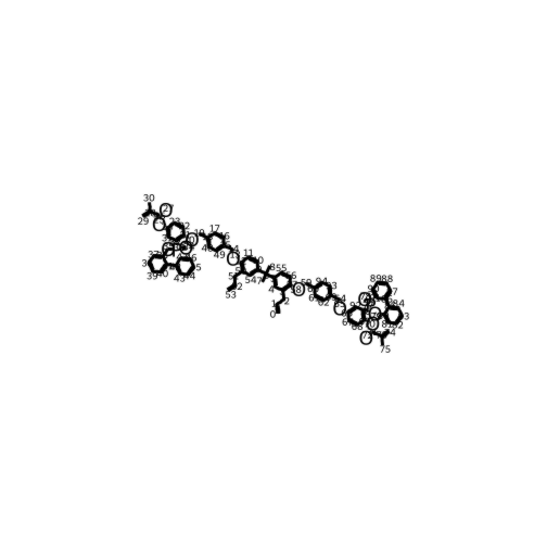 C=CCc1cc(C(C)(C)c2ccc(OCc3ccc(COc4ccc(OC(=O)C(=C)C)cc4P4(=O)Oc5ccccc5-c5ccccc54)cc3)c(CC=C)c2)ccc1OCc1ccc(COc2ccc(OC(=O)C(=C)C)c(P3(=O)Oc4ccccc4-c4ccccc43)c2)cc1